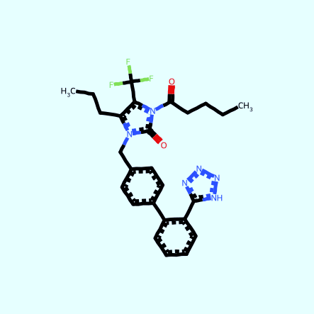 CCCCC(=O)n1c(C(F)(F)F)c(CCC)n(Cc2ccc(-c3ccccc3-c3nnn[nH]3)cc2)c1=O